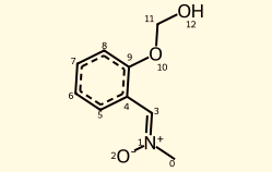 C[N+]([O-])=Cc1ccccc1OCO